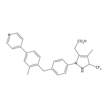 CC1=C(CC(=O)O)N(c2ccc(Cc3ccc(-c4ccncc4)cc3C)cc2)NC1C(F)(F)F